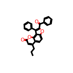 CCCc1cc(=O)oc2c1ccc1oc(C(=O)c3ccccc3)c(-c3ccccc3)c12